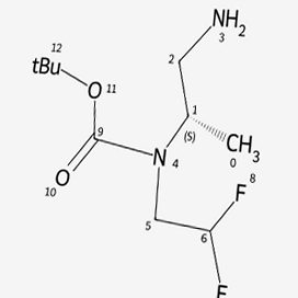 C[C@@H](CN)N(CC(F)F)C(=O)OC(C)(C)C